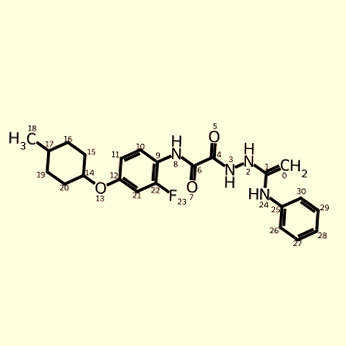 C=C(NNC(=O)C(=O)Nc1ccc(OC2CCC(C)CC2)cc1F)Nc1ccccc1